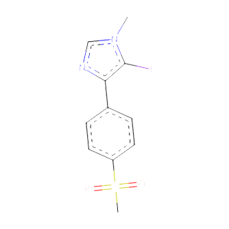 Cn1cnc(-c2ccc(S(C)(=O)=O)cc2)c1I